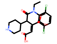 CCN(C(=O)C(/C(=C\C(=O)O)C(=O)O)C1CCNCC1)c1cc(Cl)ccc1Cl